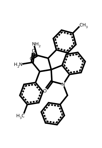 Cc1ccc(C(C(N)=O)C2(C(C(N)=O)c3ccc(C)cc3)C(=O)N(Cc3ccccc3)c3ccccc32)cc1